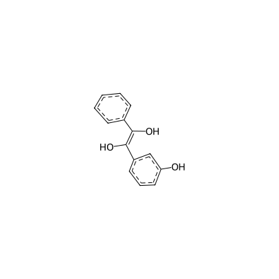 OC(=C(O)c1cccc(O)c1)c1ccccc1